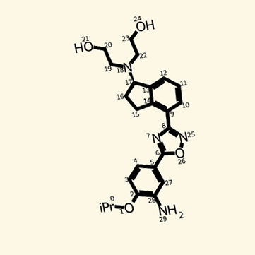 CC(C)Oc1ccc(-c2nc(-c3cccc4c3CC[C@H]4N(CCO)CCO)no2)cc1N